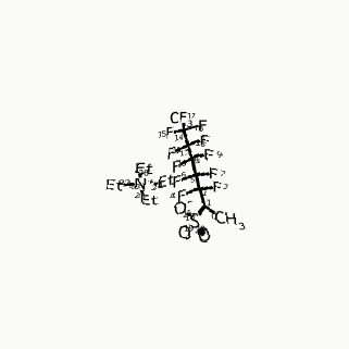 CC(C(F)(F)C(F)(F)C(F)(F)C(F)(F)C(F)(F)C(F)(F)F)S(=O)(=O)[O-].CC[N+](CC)(CC)CC